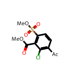 COC(=O)c1c(S(=O)(=O)OC)ccc(C(C)=O)c1Cl